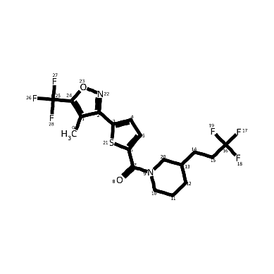 Cc1c(-c2ccc(C(=O)N3CCCC(CCC(F)(F)F)C3)s2)noc1C(F)(F)F